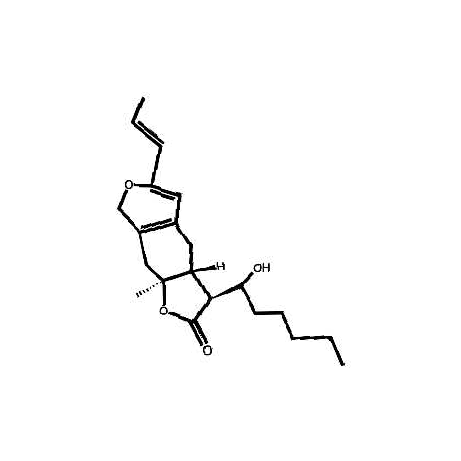 C/C=C/C1=CC2=C(CO1)C[C@]1(C)OC(=O)[C@H](C(O)CCCCC)[C@H]1C2